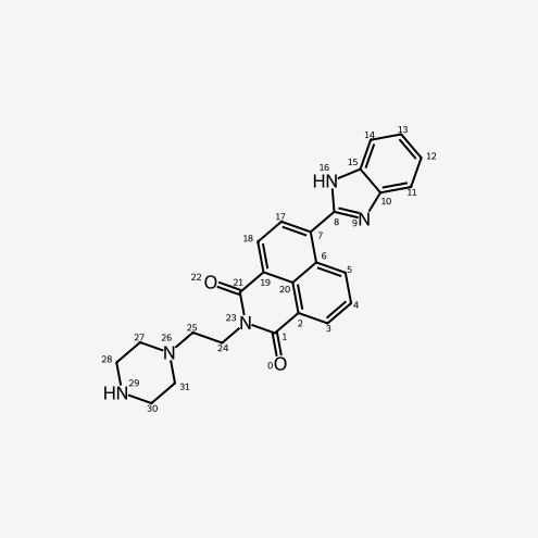 O=C1c2cccc3c(-c4nc5ccccc5[nH]4)ccc(c23)C(=O)N1CCN1CCNCC1